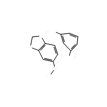 CCC(C)Nc1ccc2c(c1)OCO2.O=C(O)c1cccc(C(=O)O)c1